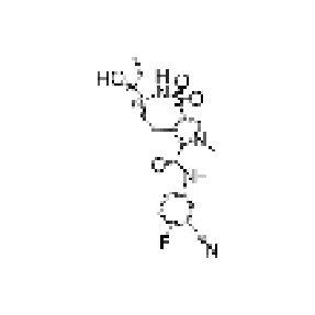 C=C[C@](C)(O)[C@@H]1CCc2c(cn(C)c2C(=O)Nc2ccc(F)c(C#N)c2)S(=O)(=O)N1